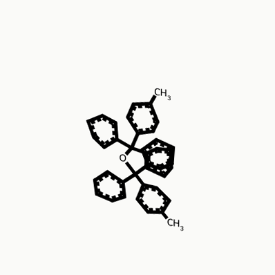 Cc1ccc(C(OC(c2ccccc2)(c2ccccc2)c2ccc(C)cc2)(c2ccccc2)c2ccccc2)cc1